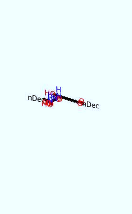 CCCCCCCCCCCC(=O)OCCCCCCCCCCCCCC(=O)NC(CCO)C(=O)NCCC[C@H](CO)NC(=O)C[C@H](O)CCCCCCCCCCC